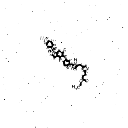 CCOC(=O)CCc1ncc(Cc2cnc(-c3cc(Oc4c(F)cc5c(ccn5S(=O)(=O)c5ccc(C)cc5)c4F)ccc3F)[nH]2)s1